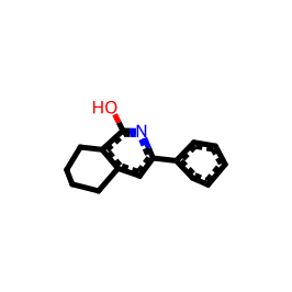 Oc1nc(-c2ccccc2)cc2c1CCCC2